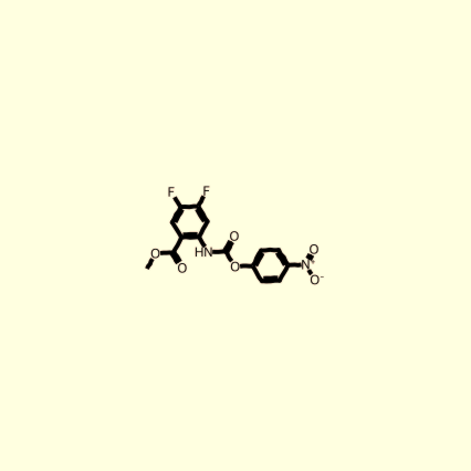 COC(=O)c1cc(F)c(F)cc1NC(=O)Oc1ccc([N+](=O)[O-])cc1